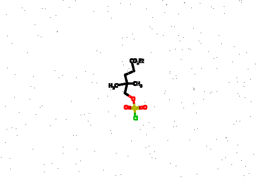 CCOC(=O)CCC(C)(C)COS(=O)(=O)Cl